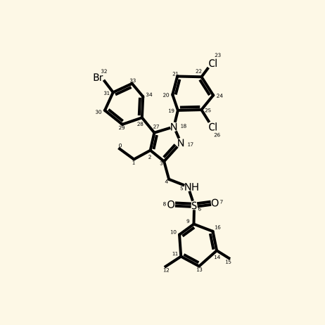 CCc1c(CNS(=O)(=O)c2cc(C)cc(C)c2)nn(-c2ccc(Cl)cc2Cl)c1-c1ccc(Br)cc1